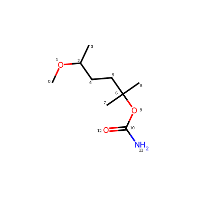 COC(C)CCC(C)(C)OC(N)=O